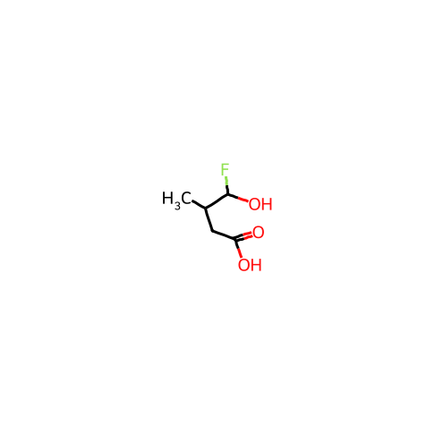 CC(CC(=O)O)C(O)F